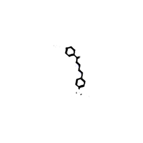 COc1ccc(C(=O)/C=C/C=C/c2ccc(N(C)C)cc2)cc1